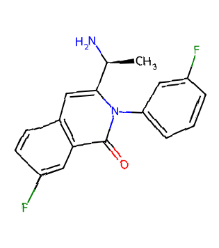 C[C@H](N)c1cc2ccc(F)cc2c(=O)n1-c1cccc(F)c1